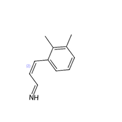 Cc1cccc(/C=C\C=N)c1C